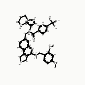 COc1ccc(CNc2nc3cc(CN(C(=O)c4ccc(C(F)(F)F)nc4)c4cnn5c4OCCC5)ccc3c3c2COC3)c(OC)c1